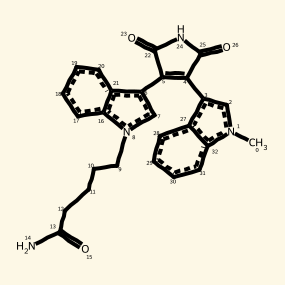 Cn1cc(C2=C(c3cn(CCCCC(N)=O)c4ccccc34)C(=O)NC2=O)c2ccccc21